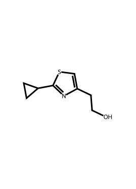 OCCc1csc(C2CC2)n1